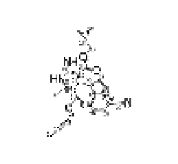 CC#CCOC(=O)C1=C(C)NC(N)=C(C(=O)OCC2CC2)C1c1csc2c(C#N)cccc12